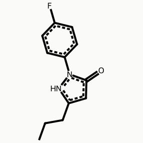 CCCc1cc(=O)n(-c2ccc(F)cc2)[nH]1